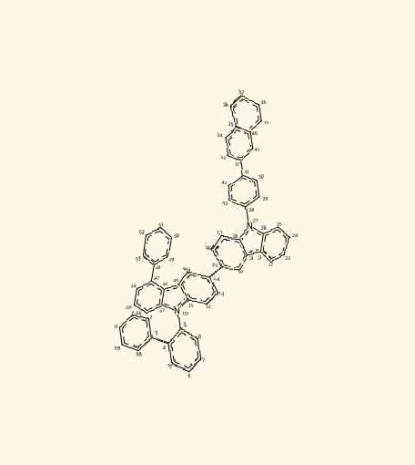 c1ccc(-c2ccccc2-n2c3ccc(-c4ccc5c(c4)c4ccccc4n5-c4ccc(-c5ccc6ccccc6c5)cc4)cc3c3c(-c4ccccc4)cccc32)cc1